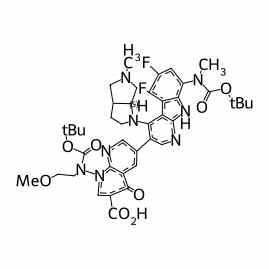 COCCN(C(=O)OC(C)(C)C)n1cc(C(=O)O)c(=O)c2cc(-c3cnc4[nH]c5c(N(C)C(=O)OC(C)(C)C)cc(F)c(F)c5c4c3N3CCC4CN(C)C[C@H]43)cnc21